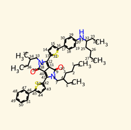 CCCCC(CC)CN1C(=O)C2=C(c3ccc(-c4ccc(NC(CC)CCCC)cc4)s3)N(CC(C)CC)C(=O)C2=C1c1ccc(-c2ccccc2)s1